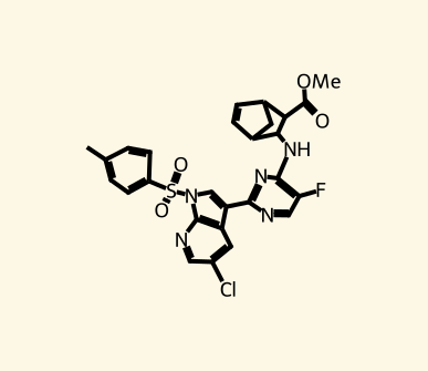 COC(=O)C1C2C=CC(C2)C1Nc1nc(-c2cn(S(=O)(=O)c3ccc(C)cc3)c3ncc(Cl)cc23)ncc1F